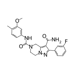 COc1cc(NC(=O)N2CCn3nc(-c4cccc(F)c4)c(C(N)=O)c3C2)ccc1C